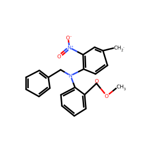 [CH2]c1ccc(N(Cc2ccccc2)c2ccccc2C(=O)OC)c([N+](=O)[O-])c1